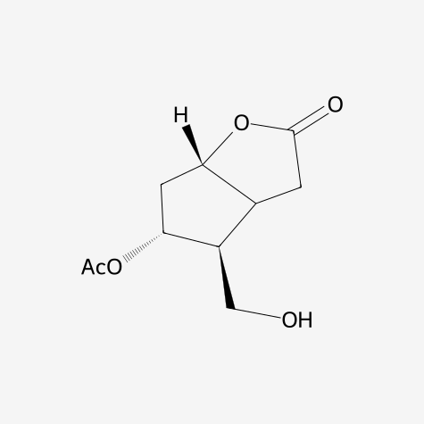 CC(=O)O[C@@H]1C[C@@H]2OC(=O)CC2[C@H]1CO